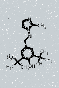 Cc1nccn1NCc1cc(C(C)(C)C)c(O)c(C(C)(C)C)c1